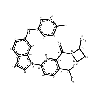 Cc1ccc(Nc2ccc3ncn(-c4ccc(C(F)F)c(C(=O)N5CCC5C(F)(F)F)n4)c3c2)nn1